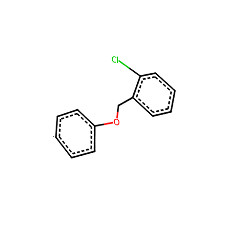 Clc1ccccc1COc1cc[c]cc1